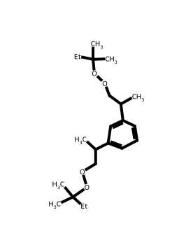 CCC(C)(C)OOCC(C)c1cccc(C(C)COOC(C)(C)CC)c1